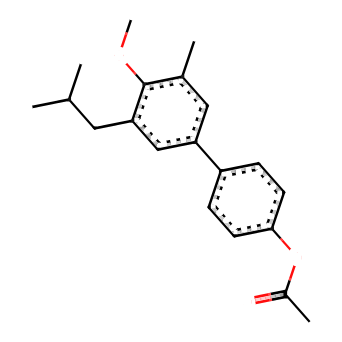 COc1c(C)cc(-c2ccc(OC(C)=O)cc2)cc1CC(C)C